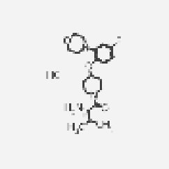 CC(C)[C@H](N)C(=O)N1CCC(Oc2ccc(F)cc2N2CCOCC2)CC1.Cl